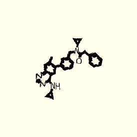 Cc1cc2ncnc(NC3CC3)c2cc1-c1cccc(CN(C(=O)Cc2ccccc2)C2CC2)c1